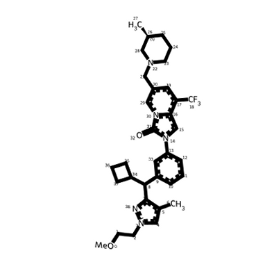 COCCn1cc(C)c(C(c2cccc(-n3cc4c(C(F)(F)F)cc(CN5CCC[C@H](C)C5)cn4c3=O)c2)C2CCC2)n1